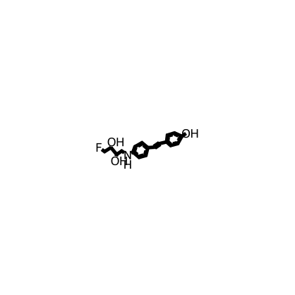 Oc1ccc(C#Cc2ccc(NCC(O)C(O)CF)cc2)cc1